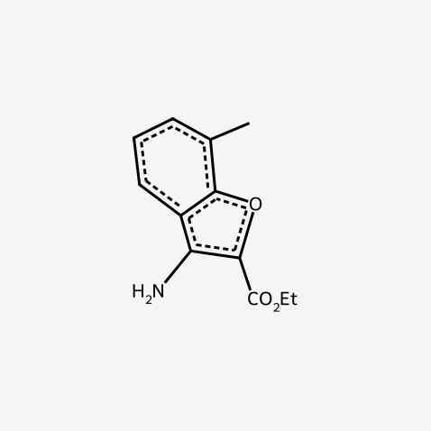 CCOC(=O)c1oc2c(C)cccc2c1N